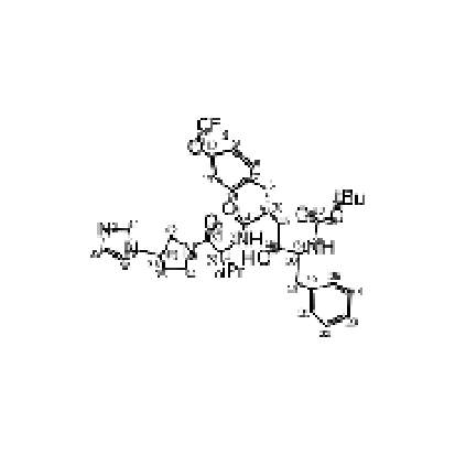 CC(C)[C@H](NC(=O)[C@H](Cc1ccc(OC(F)(F)F)cc1)C[C@H](O)[C@H](Cc1ccccc1)NC(=O)OC(C)(C)C)C(=O)N1CC[C@@H](n2ccnc2)C1